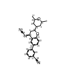 CC1CC(C2CC(=NC#N)c3cc(-c4cccc(C#N)c4)ccc3O2)CC(C)O1